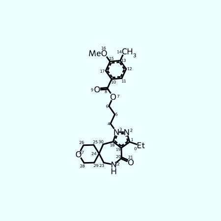 CCc1nn(CCCOC(=O)c2ccc(C)c(OC)c2)c2c1C(=O)NCC1(CCOCC1)C2